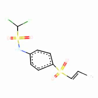 N#CC=CS(=O)(=O)c1ccc(NS(=O)(=O)C(Cl)Cl)cc1